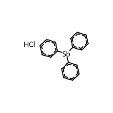 Cl.c1cc[c]([Sb]([c]2ccccc2)[c]2ccccc2)cc1